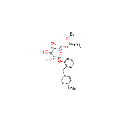 C=C(OCC)OC[C@H]1O[C@@H](Oc2ccccc2Cc2ccc(OC)cc2)[C@H](O)[C@@H](O)[C@@H]1O